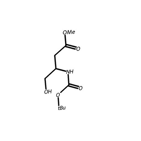 COC(=O)CC(CO)NC(=O)OC(C)(C)C